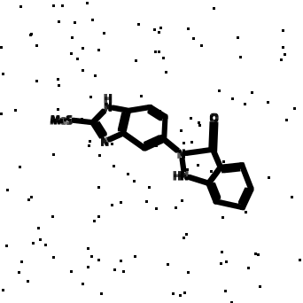 CSc1nc2cc(-n3[nH]c4ccccc4c3=O)ccc2[nH]1